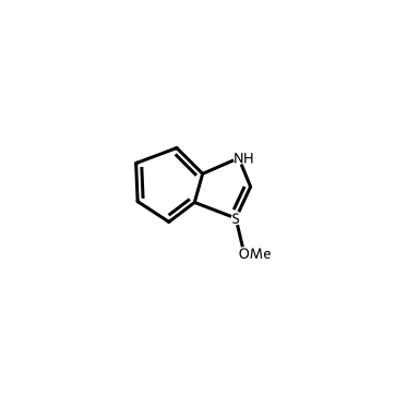 COS1=CNc2ccccc21